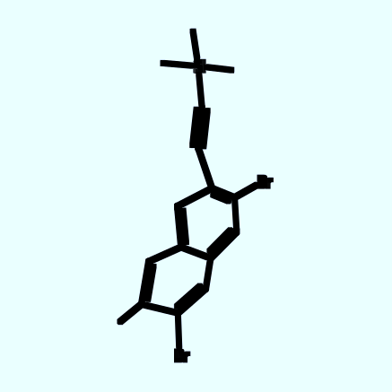 Cc1cc2cc(C#C[Si](C)(C)C)c(Br)cc2cc1Br